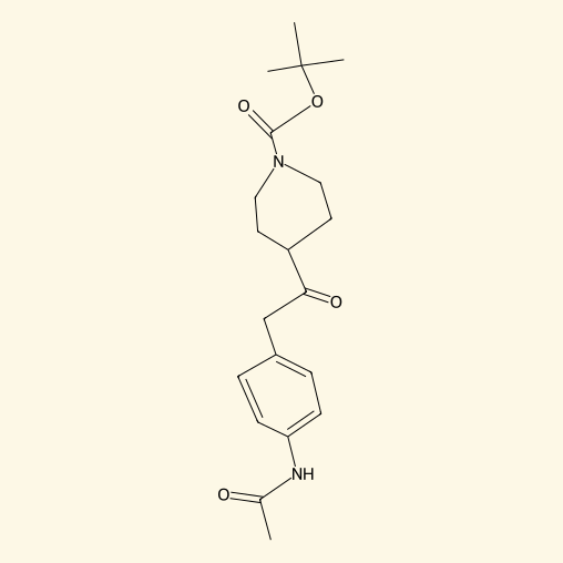 CC(=O)Nc1ccc(CC(=O)C2CCN(C(=O)OC(C)(C)C)CC2)cc1